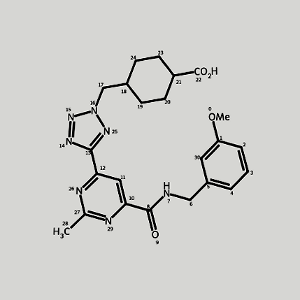 COc1cccc(CNC(=O)c2cc(-c3nnn(CC4CCC(C(=O)O)CC4)n3)nc(C)n2)c1